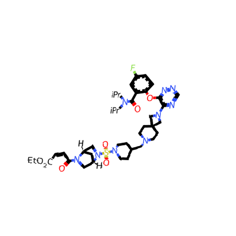 CCOC(=O)/C=C\C(=O)N1C[C@H]2C[C@@H]1CN2S(=O)(=O)N1CCC(CN2CCC3(CC2)CN(c2ncnnc2Oc2ccc(F)cc2C(=O)N(C(C)C)C(C)C)C3)CC1